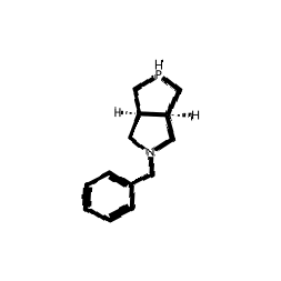 c1ccc(CN2C[C@H]3CPC[C@H]3C2)cc1